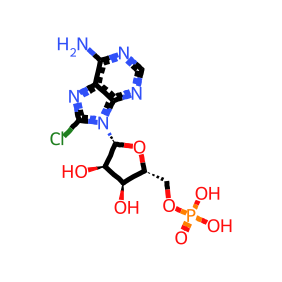 Nc1ncnc2c1nc(Cl)n2[C@@H]1O[C@H](COP(=O)(O)O)[C@@H](O)[C@H]1O